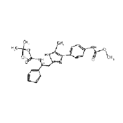 COC(=O)Nc1ccc(-c2nc(C[C@H](NC(=O)OC(C)(C)C)c3ccccc3)[nH]c2C)cc1